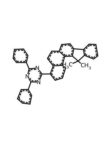 CC1(C)c2ccccc2-c2ccc3ccc4c(-c5nc(-c6ccccc6)nc(-c6ccccc6)n5)cccc4c3c21